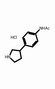 CC(=O)Nc1ccc(C2CCNC2)cc1.Cl